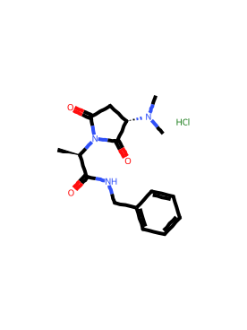 C[C@H](C(=O)NCc1ccccc1)N1C(=O)C[C@H](N(C)C)C1=O.Cl